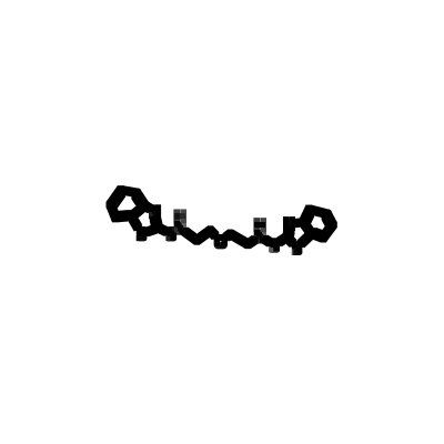 c1ccc2sc(SNCCOCCNSc3nc4ccccc4s3)nc2c1